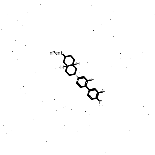 CCCCCC1CC[C@@H]2C[C@H](c3ccc(-c4ccc(F)c(F)c4)c(F)c3)CC[C@@H]2C1